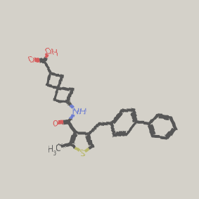 Cc1scc(Cc2ccc(-c3ccccc3)cc2)c1C(=O)NC1CC2(C1)CC(C(=O)O)C2